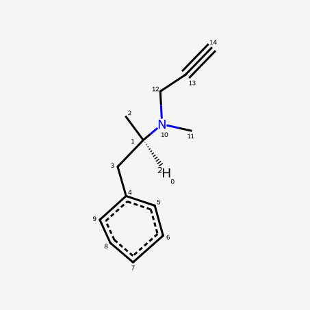 [2H][C@@](C)(Cc1ccccc1)N(C)CC#C